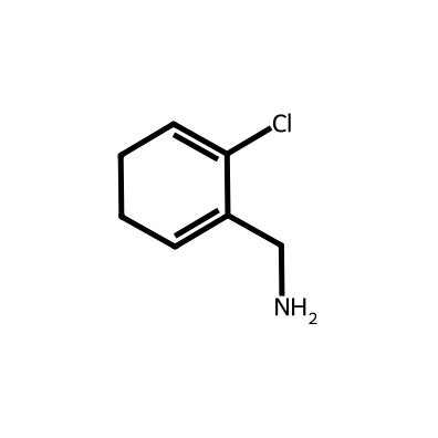 NCC1=CCCC=C1Cl